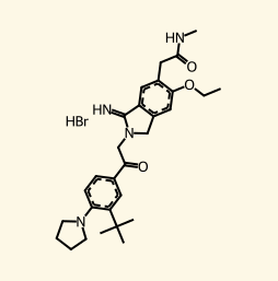 Br.CCOc1cc2c(cc1CC(=O)NC)C(=N)N(CC(=O)c1ccc(N3CCCC3)c(C(C)(C)C)c1)C2